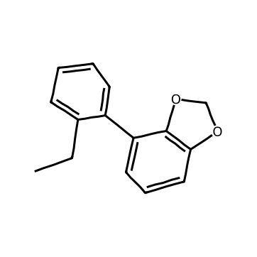 CCc1ccccc1-c1cccc2c1OCO2